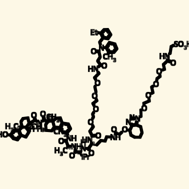 CCc1ccccc1CN(C(=O)CCC(=O)NCCOCCOCCOCCOCCC(=O)N[C@H](CCCCNC(=O)COC1CCCCCc2c1nnn2CCOCCOCCOCCOCCC(=O)NCCS(=O)(=O)O)C(=O)N[C@H](C(=O)N[C@@H](C)C(=O)Nc1ccc2c(c1)[C@@]1(C)CCC[C@](C)(C(=O)NC(=O)[C@@]3(C)CCC[C@]4(C)c5cc(O)ccc5CC[C@@H]34)[C@@H]1CC2)C(C)C)c1ccccc1C